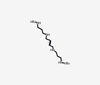 CCCCNCCCNC/C=C/CNCCCNCCCC